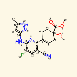 COC(=O)C1(OC)CC=C(c2nc(Nc3cc(C)[nH]n3)c(F)cc2C#N)CC1